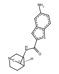 Nc1ccc2sc(C(=O)N[C@@H]3CN4CCC3CC4)cc2c1